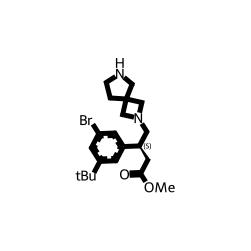 COC(=O)C[C@H](CN1CC2(CCNC2)C1)c1cc(Br)cc(C(C)(C)C)c1